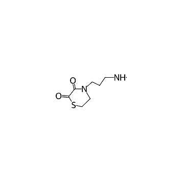 [NH]CCCN1CCSC(=O)C1=O